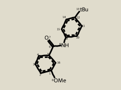 COc1cccc(C(=O)Nc2ccc(C(C)(C)C)cc2)c1